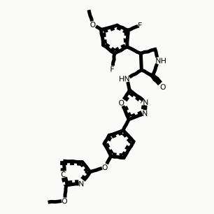 COc1cc(F)c(C2CNC(=O)C2Nc2nnc(-c3ccc(Oc4cccc(OC)n4)cc3)o2)c(F)c1